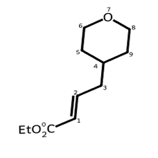 CCOC(=O)C=CCC1CCOCC1